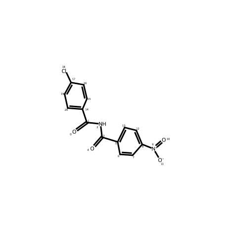 O=C(NC(=O)c1ccc([N+](=O)[O-])cc1)c1ccc(Cl)cc1